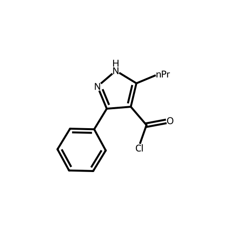 CCCc1[nH]nc(-c2ccccc2)c1C(=O)Cl